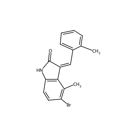 Cc1ccccc1C=C1C(=O)Nc2ccc(Br)c(C)c21